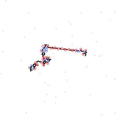 CCC1CC(=O)N(CCC(=O)NCCOCCOCCOCCOCCOCCOCCOCCOCCC(=O)N[C@H](C(=O)N[C@@H](C)C(=O)Nc2ccc(COC(=O)N3c4cc(OCCCCCOc5cc6c(cc5OC)C(=O)N5C=C(C)C[C@H]5C=N6)c(OC)cc4C(=O)N4C=C(C)C[C@H]4[C@@H]3O)cc2)C(C)C)C1=O